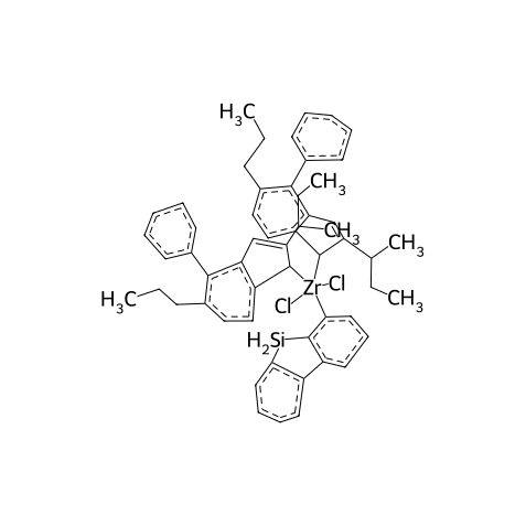 CCCc1ccc2c(c1-c1ccccc1)C=C(C(C)CC)[CH]2[Zr]([Cl])([Cl])([c]1cccc2c1[SiH2]c1ccccc1-2)[CH]1C(C(C)CC)=Cc2c1ccc(CCC)c2-c1ccccc1